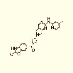 Cc1cc(C)nc(Nc2ncc3c(n2)CN(C2CN(C(=O)c4ccc5[nH]c(=O)oc5c4)C2)C3)c1